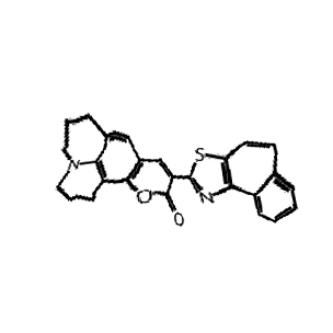 O=c1oc2c3c4c(cc2cc1-c1nc2c(ccc5ccccc52)s1)CCCN4CCC3